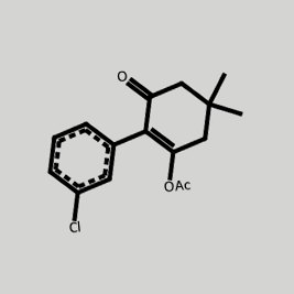 CC(=O)OC1=C(c2cccc(Cl)c2)C(=O)CC(C)(C)C1